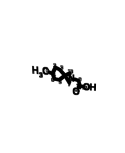 CC1CCC2(CC1)CN(CC(=O)O)C2